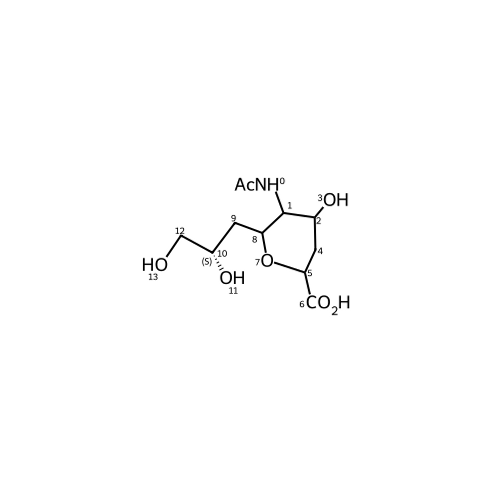 CC(=O)NC1C(O)CC(C(=O)O)OC1C[C@H](O)CO